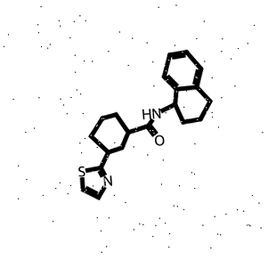 O=C(NC1CCCc2ccccc21)C1CCCC(c2nccs2)C1